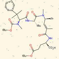 C/C(=C\[C@H](C(C)C)N(C)C(=O)[C@@H](NC(=O)[C@@H](N(C)C(=O)OC(C)(C)C)C(C)(C)c1ccccc1)C(C)(C)C)C(=O)N[C@H](CCC(=O)OC(C)(C)C)C(=O)O